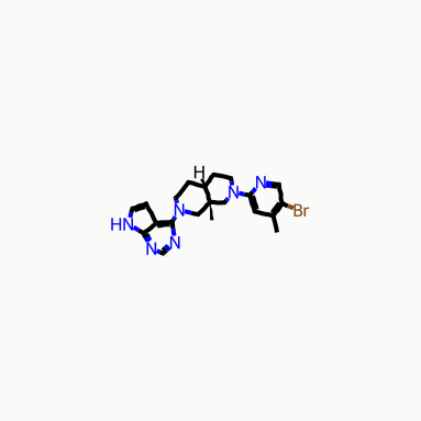 Cc1cc(N2CC[C@H]3CCN(c4ncnc5[nH]ccc45)C[C@@]3(C)C2)ncc1Br